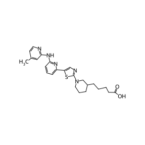 Cc1ccnc(Nc2cccc(-c3cnc(N4CCCC(CCCCC(=O)O)C4)s3)n2)c1